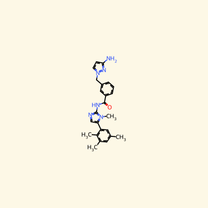 Cc1cc(C)c(C)c(-c2cnc(NC(=O)c3cccc(Cn4ccc(N)n4)c3)n2C)c1